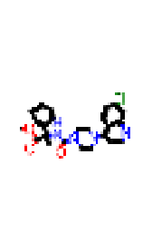 COC(=O)C(C)(NC(=O)N1CCN(c2ccnc3cc(Cl)ccc23)CC1)c1ccccc1